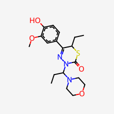 CCC1SC(=O)N(C(CC)N2CCOCC2)N=C1c1ccc(O)c(OC)c1